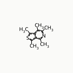 Cc1nc(C)c2c(C)sc(C)c2c1C